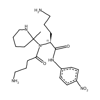 CC1(N(C(=O)CCCN)[C@@H](CCCN)C(=O)Nc2ccc([N+](=O)[O-])cc2)CCCCN1